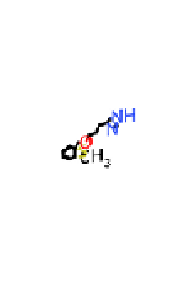 CSC1(COCCCc2c[nH]cn2)C=CC=CC1